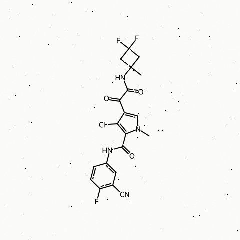 Cn1cc(C(=O)C(=O)NC2(C)CC(F)(F)C2)c(Cl)c1C(=O)Nc1ccc(F)c(C#N)c1